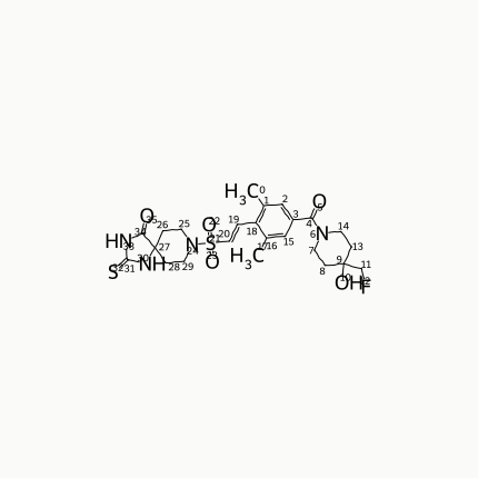 Cc1cc(C(=O)N2CCC(O)(CF)CC2)cc(C)c1C=CS(=O)(=O)N1CCC2(CC1)NC(=S)NC2=O